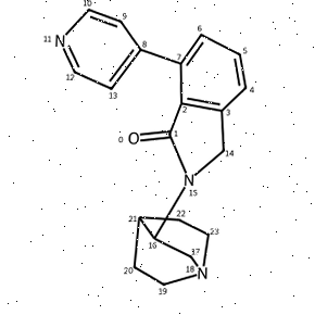 O=C1c2c(cccc2-c2ccncc2)CN1C1CN2CCC1CC2